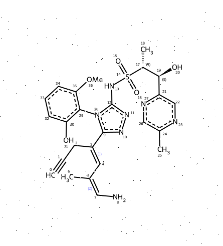 C#CC/C(=C\C(C)=C/N)c1nnc(NS(=O)(=O)[C@H](C)[C@@H](O)c2cnc(C)cn2)n1-c1c(O)cccc1OC